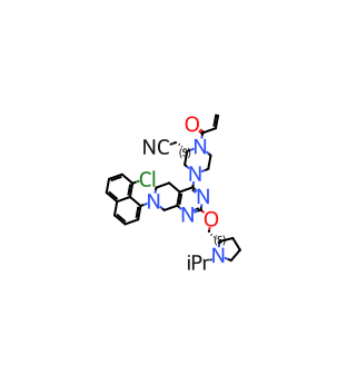 C=CC(=O)N1CCN(c2nc(OC[C@@H]3CCCN3C(C)C)nc3c2CCN(c2cccc4cccc(Cl)c24)C3)C[C@@H]1CC#N